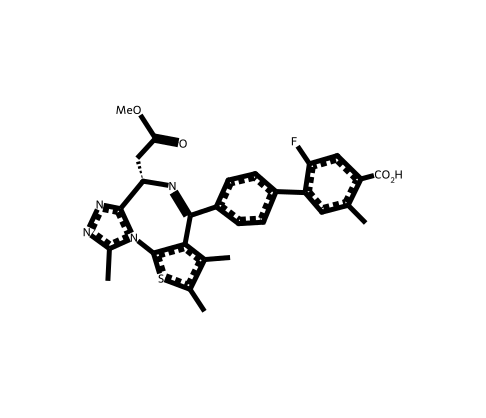 COC(=O)C[C@@H]1N=C(c2ccc(-c3cc(C)c(C(=O)O)cc3F)cc2)c2c(sc(C)c2C)-n2c(C)nnc21